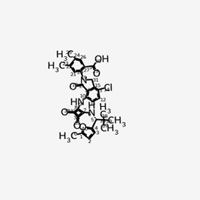 Cc1ccc([C@H](Nc2c(Nc3ccc(Cl)c4c3C(=O)N(c3cc(C)c(C)cc3C(=O)O)C4)c(=O)c2=O)C(C)(C)C)o1